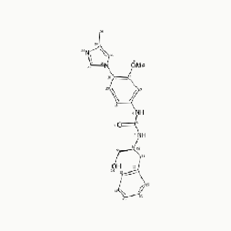 COc1cc(NC(=O)N[C@H](CO)Cc2ccccc2)ccc1-n1cnc(C)c1